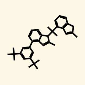 CC1=Cc2c(cccc2C(C)(C)C2C(C)=Cc3c(-c4cc(C(C)(C)C)cc(C(C)(C)C)c4)cccc32)C1